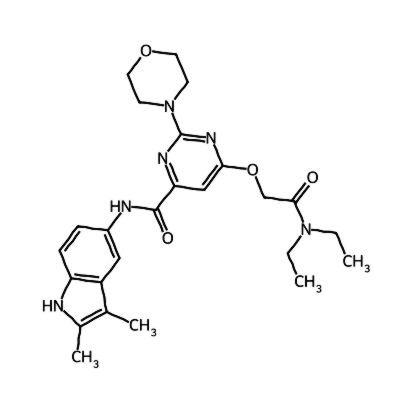 CCN(CC)C(=O)COc1cc(C(=O)Nc2ccc3[nH]c(C)c(C)c3c2)nc(N2CCOCC2)n1